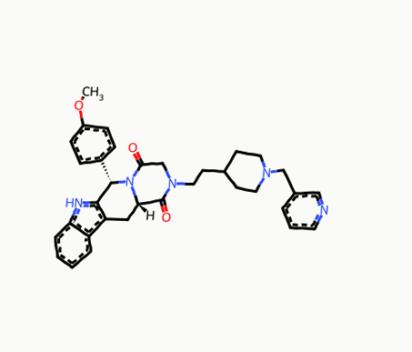 COc1ccc([C@H]2c3[nH]c4ccccc4c3C[C@H]3C(=O)N(CCC4CCN(Cc5cccnc5)CC4)CC(=O)N23)cc1